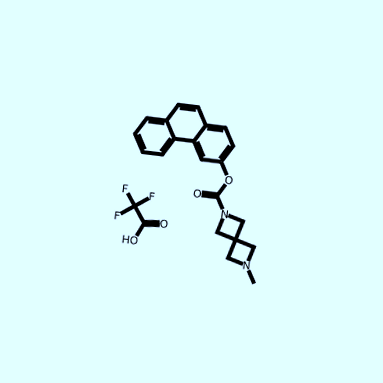 CN1CC2(C1)CN(C(=O)Oc1ccc3ccc4ccccc4c3c1)C2.O=C(O)C(F)(F)F